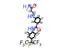 Cc1cc(C(F)(C(F)(F)F)C(F)(F)F)cc(C)c1NC(=O)c1cccc(NCCC(N)=O)c1